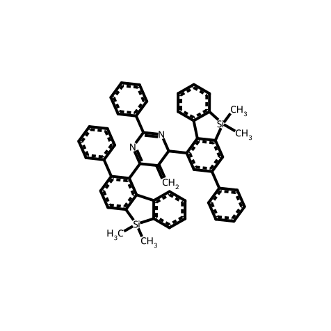 C=C1C(c2c(-c3ccccc3)ccc3c2-c2ccccc2[Si]3(C)C)=NC(c2ccccc2)=NC1c1cc(-c2ccccc2)cc2c1-c1ccccc1[Si]2(C)C